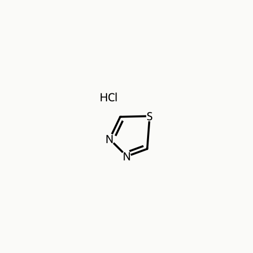 Cl.c1nncs1